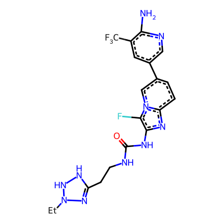 CCN1N=C(CCNC(=O)Nc2nc3ccc(-c4cnc(N)c(C(F)(F)F)c4)cn3c2F)NN1